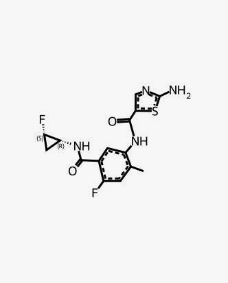 Cc1cc(F)c(C(=O)N[C@@H]2C[C@@H]2F)cc1NC(=O)c1cnc(N)s1